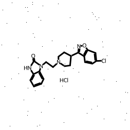 Cl.O=c1[nH]c2ccccc2n1CCN1CCC(c2noc3cc(Cl)ccc23)CC1